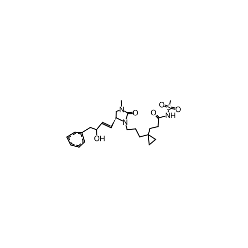 CN1C[C@H](/C=C/C(O)Cc2ccccc2)N(CCCC2(CCC(=O)NS(C)(=O)=O)CC2)C1=O